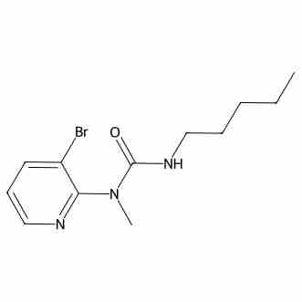 CCCCCNC(=O)N(C)c1ncccc1Br